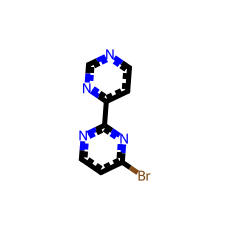 Brc1ccnc(-c2ccncn2)n1